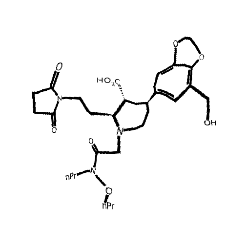 CCCON(CCC)C(=O)CN1C[C@H](c2cc(CO)c3c(c2)OCO3)[C@@H](C(=O)O)[C@@H]1CCN1C(=O)CCC1=O